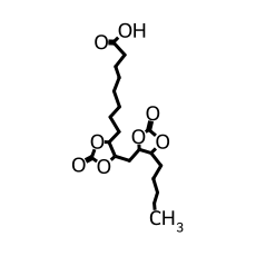 CCCCCC1OC(=O)OC1CC1OC(=O)OC1CCCCCCCC(=O)O